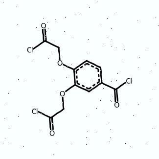 O=C(Cl)COc1ccc(C(=O)Cl)cc1OCC(=O)Cl